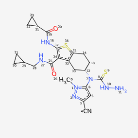 Cn1nc(C#N)cc1N(C(=S)NN)[C@H]1CCc2sc(NC(=O)C3CC3)c(C(=O)NCC3CC3)c2C1